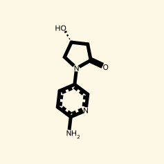 Nc1ccc(N2C[C@H](O)CC2=O)cn1